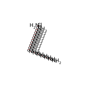 NCC(=O)Cl.Nc1ccccc1.Nc1ccccc1.Nc1ccccc1.Nc1ccccc1.Nc1ccccc1.Nc1ccccc1.Nc1ccccc1.Nc1ccccc1.Nc1ccccc1.Nc1ccccc1.Nc1ccccc1.Nc1ccccc1.Nc1ccccc1.Nc1ccccc1.Nc1ccccc1.Nc1ccccc1